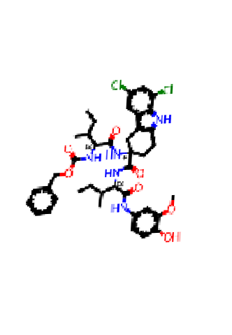 CCC(C)[C@H](NC(=O)OCc1ccccc1)C(=O)N[C@]1(C(=O)N[C@H](C(=O)Nc2ccc(O)c(OC)c2)C(C)CC)CCc2[nH]c3c(Cl)cc(Cl)cc3c2C1